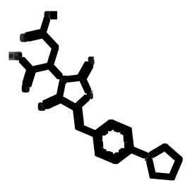 O=C(O)CC(C(=O)O)N1C(=O)C(=Cc2ccc(N3CCCC3)cc2)SC1=S